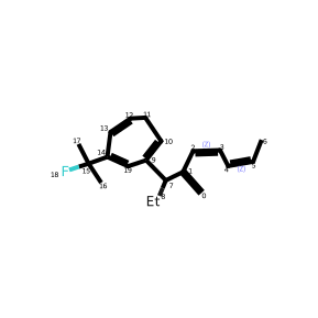 C=C(/C=C\C=C/C)C(CC)C1=CCC=CC(C(C)(C)F)=C1